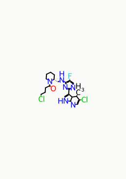 CC1C(Cl)=CN=C2NC=C(c3ncc(F)c(NC[C@H]4CCCCN4C(=O)CCCCl)n3)C21